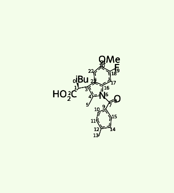 CCC(C)[C@H](C(=O)O)c1c(C)n(C(=O)c2ccc(C)cc2)c2cc(F)c(OC)cc12